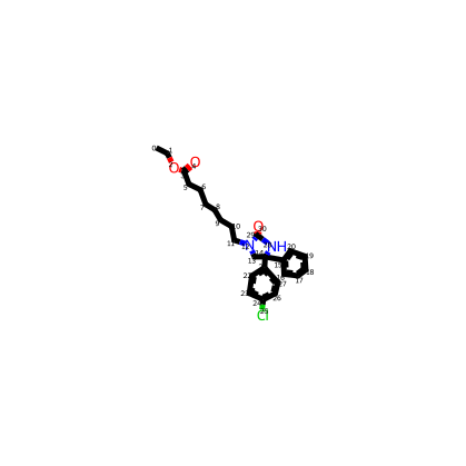 CCOC(=O)CCCCCCCN1CC(c2ccccc2)(c2ccc(Cl)cc2)NC1=O